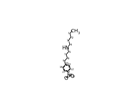 CCCCCNCCCCc1ccc([N+](=O)[O-])cc1